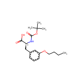 CCCCOc1cccc(C[C@H](NC(=O)OC(C)(C)C)C(=O)O)c1